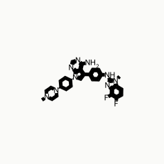 CN1CCN([C@H]2CC[C@@H](n3cc(-c4ccc(Nc5nc6c(F)c(F)ccc6n5C)cc4)c4c(N)ncnc43)CC2)CC1